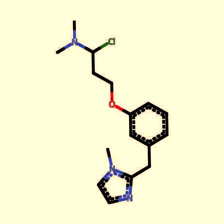 CN(C)C(Cl)CCOc1cccc(Cc2nccn2C)c1